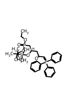 CCOP(=O)(C[C@@H](CC(=O)C=P(c1ccccc1)(c1ccccc1)c1ccccc1)O[Si](C)(C)C(C)(C)C)OCC